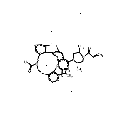 C=CC(=O)N1C[C@H](C)N(c2nc(=O)n3c4nc(c(F)cc24)-c2c(F)cccc2CN(C(N)=O)CCc2ccnc(C(C)C)c2-3)C[C@H]1C